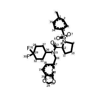 Cc1ccc(S(=O)(=O)N2CCC[C@H]2C(=O)N(Cc2ccc3c(c2)OCO3)C2CCC(F)(F)CC2)cc1